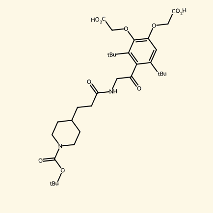 CC(C)(C)OC(=O)N1CCC(CCC(=O)NCC(=O)c2c(C(C)(C)C)cc(OCC(=O)O)c(OCC(=O)O)c2C(C)(C)C)CC1